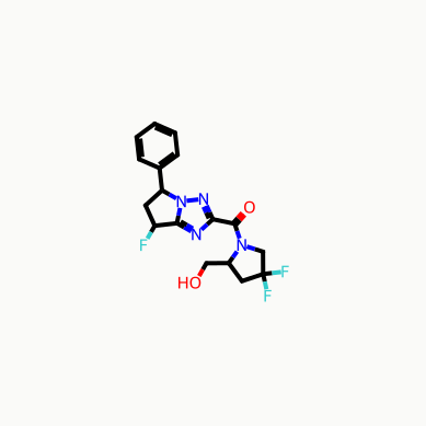 O=C(c1nc2n(n1)C(c1ccccc1)CC2F)N1CC(F)(F)CC1CO